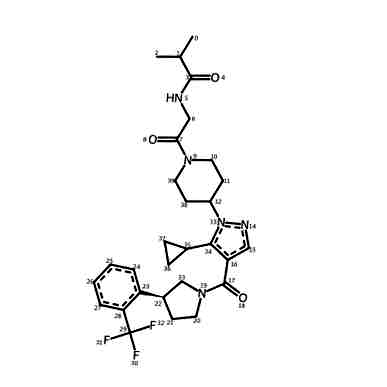 CC(C)C(=O)NCC(=O)N1CCC(n2ncc(C(=O)N3CC[C@@H](c4ccccc4C(F)(F)F)C3)c2C2CC2)CC1